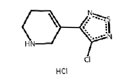 Cl.Clc1nsnc1C1=CCCNC1